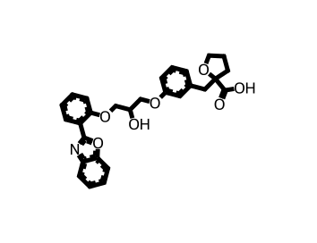 O=C(O)C1(Cc2cccc(OCC(O)COc3ccccc3-c3nc4ccccc4o3)c2)CCCO1